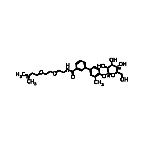 Cc1cc(-c2cccc(C(=O)NCCOCCOCCN(C)C)c2)ccc1O[C@H]1OC(CO)[C@@H](O)C(O)C1O